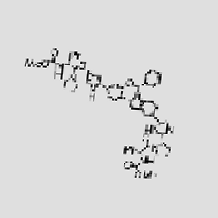 COC(=O)N[C@H](C(=O)N1CCC[C@H]1c1ncc(-c2ccc3c(c2)OC(c2ccccc2)n2c-3cc3cc(-c4cnc([C@@H]5CCCN5C(=O)[C@@H](NC(=O)OC)C(C)C)[nH]4)ccc32)[nH]1)C(C)C